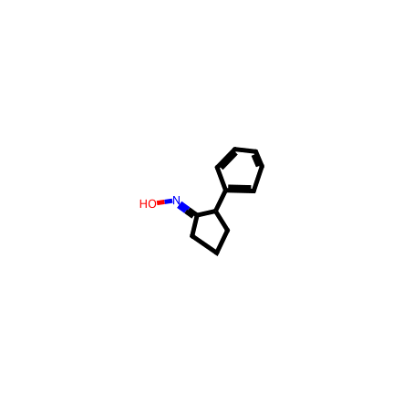 ON=C1CCCC1c1ccccc1